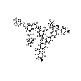 CC1(C)OCC(CCc2cc(CCC3COC(C)(C)O3)c3cc(Oc4ccc(C(=O)c5cc(-c6ccc(C(=O)c7ccc(F)cc7)cc6)ccc5-c5ccc(C(=O)c6ccc(F)cc6)cc5)cc4CCC4COC(C)(C)O4)ccc3c2)O1